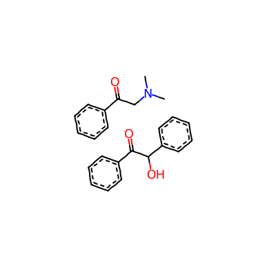 CN(C)CC(=O)c1ccccc1.O=C(c1ccccc1)C(O)c1ccccc1